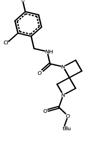 CC(C)(C)OC(=O)N1CC2(CCN2C(=O)NCc2ccc(Cl)cc2Cl)C1